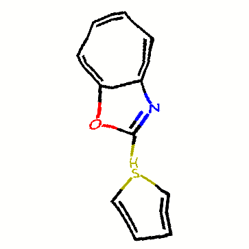 C1=C[SH](c2nc3ccccc3o2)C=C1